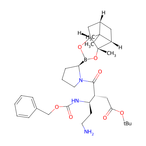 CC(C)(C)OC(=O)C[C@@H](C(=O)N1CCC[C@H]1B1O[C@@H]2C[C@@H]3C[C@@H](C3(C)C)[C@]2(C)O1)[C@@H](CCN)NC(=O)OCc1ccccc1